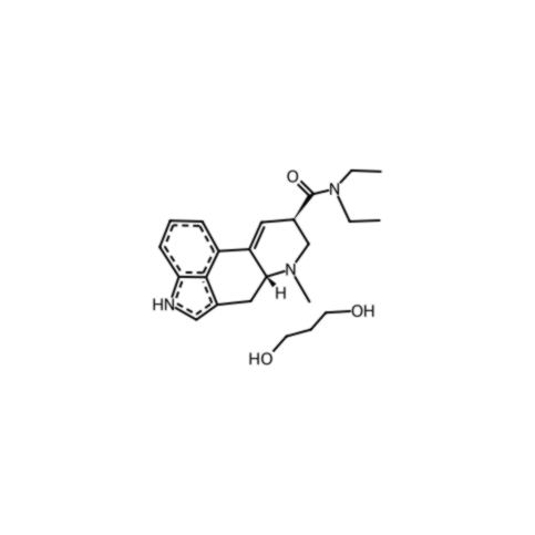 CCN(CC)C(=O)[C@@H]1C=C2c3cccc4[nH]cc(c34)C[C@H]2N(C)C1.OCCCO